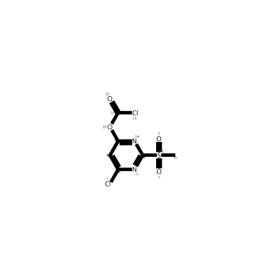 CS(=O)(=O)c1nc(Cl)cc(OC(=O)Cl)n1